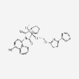 C[C@]12CC[C@](CCOC3=NN(c4ccccc4)CC3)(O1)[C@@H]1C(=O)N(c3ccc(C#N)c4ccccc34)C(=O)[C@@H]12